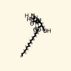 CCCCCCCCCCCCCCCC(=O)OCC(CCO)Cc1nc2nc(N)[nH]c(=O)c2[nH]1